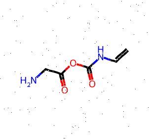 C=CNC(=O)OC(=O)CN